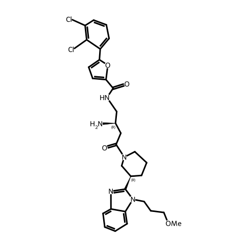 COCCCn1c([C@@H]2CCCN(C(=O)C[C@@H](N)CNC(=O)c3ccc(-c4cccc(Cl)c4Cl)o3)C2)nc2ccccc21